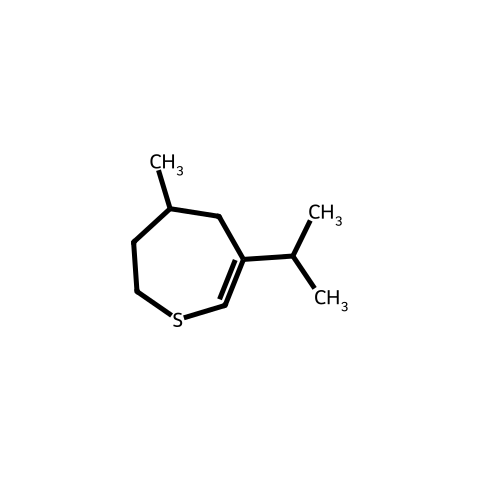 CC1CCSC=C(C(C)C)C1